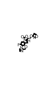 O=C1O[C@@H](COc2ccon2)[C@@H]2Cc3c(cc(F)c4c3OCc3nccn3-4)N12